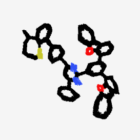 C=C1/C=C\C=C/Sc2c1cccc2-c1ccc(-c2cc(-c3ccccc3)nc(-c3cc(-c4cccc5c4oc4ccccc45)cc(-c4cccc5c4oc4ccccc45)c3)n2)cc1